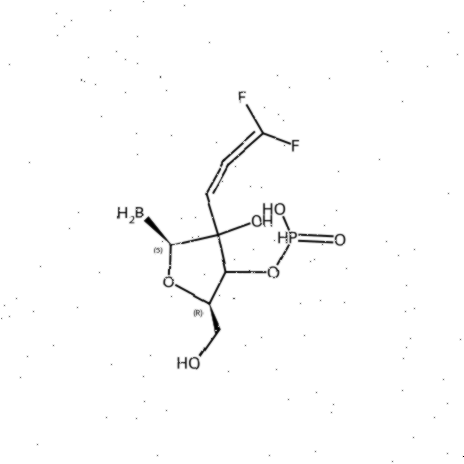 B[C@@H]1O[C@H](CO)C(O[PH](=O)O)C1(O)C=C=C(F)F